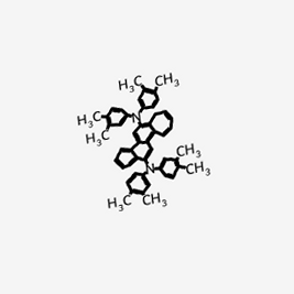 Cc1ccc(N(c2ccc(C)c(C)c2)c2cc3c(cc(N(c4ccc(C)c(C)c4)c4ccc(C)c(C)c4)c4ccccc43)c3c2CC=CC=C3)cc1C